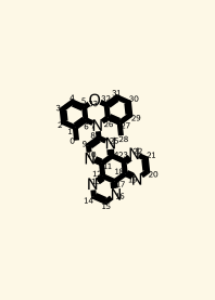 Cc1cccc2c1N(c1cnc3c4nccnc4c4nccnc4c3n1)c1c(C)cccc1O2